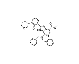 COC(=O)c1cnc(N(Cc2ccccc2)Cc2ccccc2)c2[nH]c(-c3cccn(C4CCCOC4)c3=O)cc12